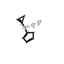 C1=CC[C]([Ti+2][C]2=CC2)=C1.[Cl-].[Cl-]